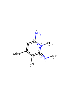 CCC/N=c1/c(C#N)c(NC)cc(N)n1C